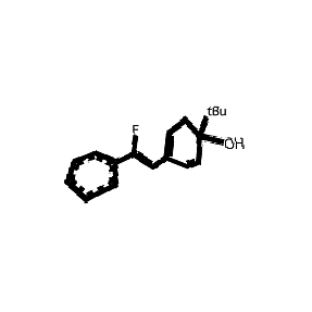 CC(C)(C)C1(O)C=CC(/C=C(\F)c2ccccc2)=CC1